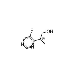 C[C@H](CO)c1ncncc1F